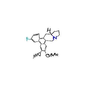 COc1cc2c3c(c4ccc(F)cc4c2cc1OC)C[C@@H]1CCCN1C3